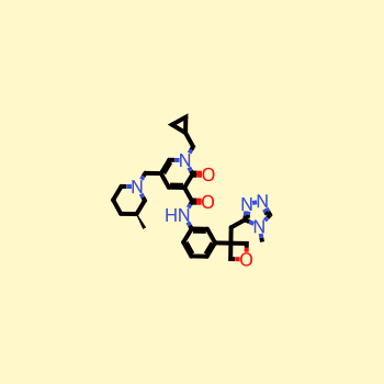 C[C@H]1CCCN(Cc2cc(C(=O)Nc3cccc(C4(Cc5nncn5C)COC4)c3)c(=O)n(CC3CC3)c2)C1